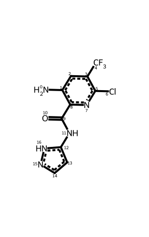 Nc1cc(C(F)(F)F)c(Cl)nc1C(=O)Nc1ccn[nH]1